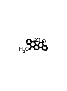 CC=C1C2=C(C(=O)c3ccccc31)C1=C(CC2)c2ccccc2C(=O)C1=O